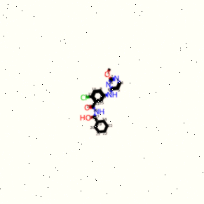 COc1nccc(Nc2ccc(Cl)c(C(=O)NC(O)C3CCCCC3)c2)n1